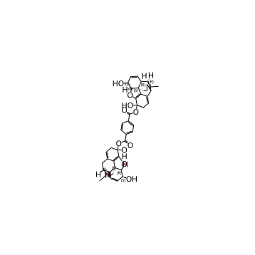 CN1CC[C@]23C4=C5O[C@H]2[C@@H](O)C=C[C@H]3[C@H]1CC4=CCC5(O)OC(=O)c1ccc(C(=O)OC2(O)CC=C3C[C@@H]4[C@@H]5C=C[C@H](O)[C@@H]6OC2=C3[C@]56CCN4C)cc1